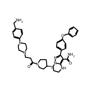 NCc1ccc(N2CCN(CCC(=O)N3CCC([C@@H]4CCNc5c(C(N)=O)c(-c6ccc(Oc7ccccc7)cc6)nn54)CC3)CC2)cc1